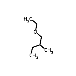 [CH2]COC[C](C)CC